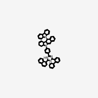 C1=CCCC(c2ccccc2C2N=C(c3ccc(N4C5=Cc6ccccc6C(N6C7C=CC=CC7C7C=CC=CC76)C5C5C=CCCC54)cc3)NC(c3cccc4ccccc34)N2)=C1